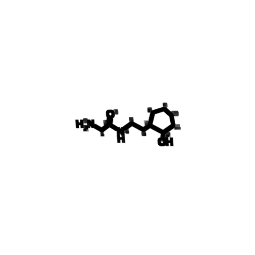 NCC(=O)NCCC1CCCCC1O